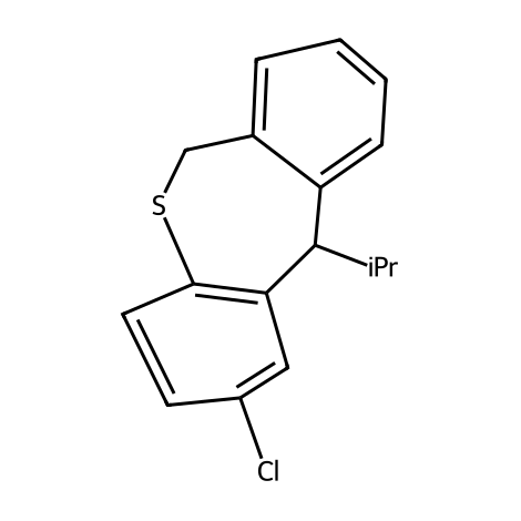 CC(C)C1c2ccccc2CSc2ccc(Cl)cc21